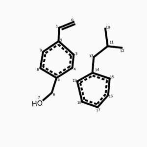 C=Cc1ccc(CO)cc1.CC(C)Cc1ccccc1